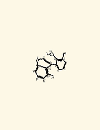 Cc1cccc(-c2coc3cccc(C)c23)c1O